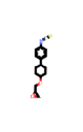 S=C=Nc1ccc(C2CCC(OCC3CO3)CC2)cc1